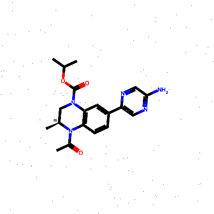 CC(=O)N1c2ccc(-c3cnc(N)cn3)cc2N(C(=O)OC(C)C)C[C@@H]1C